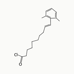 Cc1cccc(C)c1/C=C/CCCCCCCC(=O)Cl